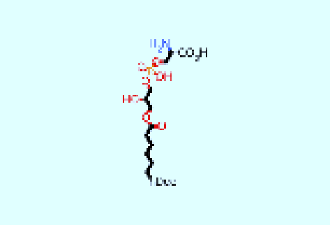 CCCCCCCCCCCCCCCC(=O)OC[C@@H](O)COP(=O)(O)OC[C@H](N)C(=O)O